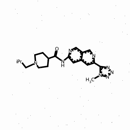 CC(C)CN1CCC(C(=O)Nc2cc3cc(-c4nnnn4C)ncc3cn2)CC1